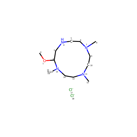 COC1CNCCN(C)CCN(C)CC[N]1[Ti+2].[Cl-].[Cl-]